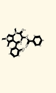 Cc1c2c(cn1C)N(C)C(=O)C(OC(=O)c1ccccc1)N=C2c1ccccc1Cl